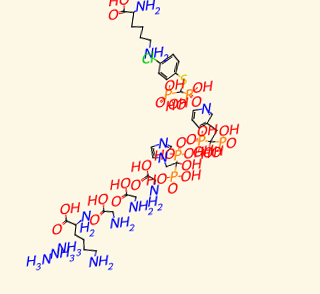 N.N.N.NCC(=O)O.NCC(=O)O.NCC(=O)O.NCCCC[C@H](N)C(=O)O.NCCCC[C@H](N)C(=O)O.O=P(O)(O)C(O)(Cc1cccnc1)P(=O)(O)O.O=P(O)(O)C(O)(Cn1ccnc1)P(=O)(O)O.O=P(O)(O)C(Sc1ccc(Cl)cc1)P(=O)(O)O